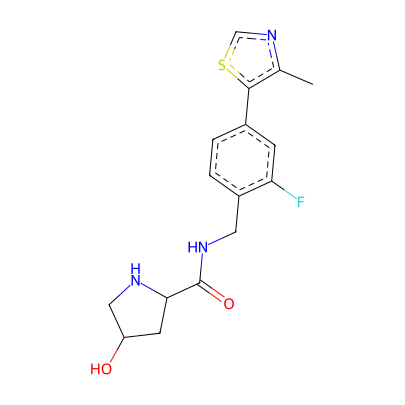 Cc1ncsc1-c1ccc(CNC(=O)C2CC(O)CN2)c(F)c1